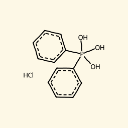 Cl.OP(O)(O)(c1ccccc1)c1ccccc1